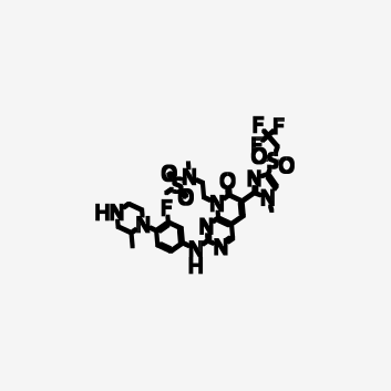 CC1CNCCN1c1ccc(Nc2ncc3cc(-c4nc(S(=O)(=O)CC(F)(F)F)cn4C)c(=O)n(CCN(C)S(C)(=O)=O)c3n2)cc1F